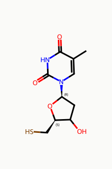 Cc1cn([C@H]2CC(O)[C@@H](CS)O2)c(=O)[nH]c1=O